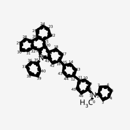 CN(c1ccccc1)c1ccc(-c2ccc(-c3ccc4c5c6ccccc6c6ccccc6c5n(-c5ccccc5)c4c3)cc2)cc1